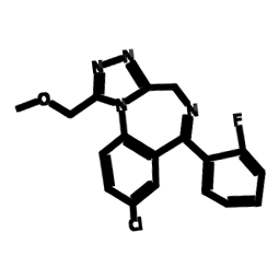 COCc1nnc2n1-c1ccc(Cl)cc1C(c1ccccc1F)=NC2